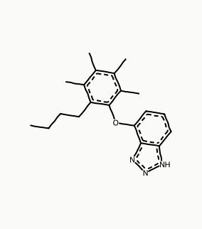 CCCCc1c(C)c(C)c(C)c(C)c1Oc1cccc2[nH]nnc12